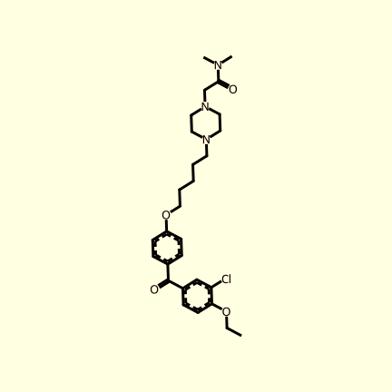 CCOc1ccc(C(=O)c2ccc(OCCCCCN3CCN(CC(=O)N(C)C)CC3)cc2)cc1Cl